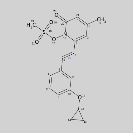 Cc1cc(/C=C/c2cccc(OC3CC3)c2)n(OS(C)(=O)=O)c(=O)c1